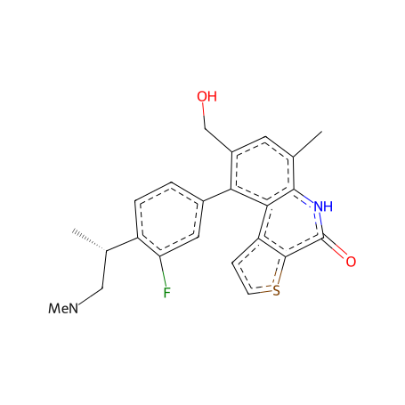 CNC[C@H](C)c1ccc(-c2c(CO)cc(C)c3[nH]c(=O)c4sccc4c23)cc1F